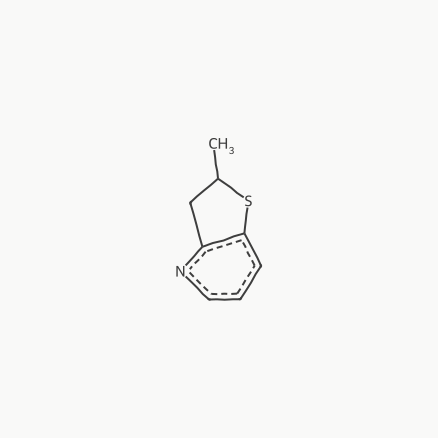 CC1Cc2ncccc2S1